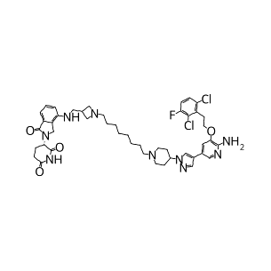 Nc1ncc(-c2cnn(C3CCN(CCCCCCCCN4CC(CNc5cccc6c5CN([C@H]5CCC(=O)NC5=O)C6=O)C4)CC3)c2)cc1OCCc1c(Cl)ccc(F)c1Cl